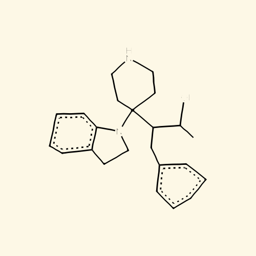 CC(O)C(Cc1ccccc1)C1(N2CCc3ccccc32)CCNCC1